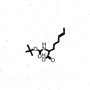 C/C=C/CCCC(NC(=O)OC(C)(C)C)C(=O)O